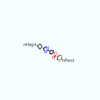 CCCCCCC[C@H]1CC[C@H](c2cnc(-c3ccc(OC(=O)[C@H]4CS[C@H](CCCCC)SC4)cc3)nc2)CC1